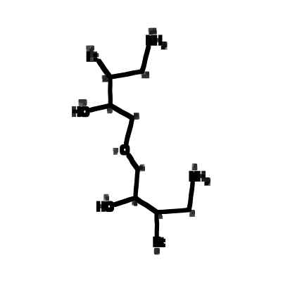 CCC(CN)C(O)COCC(O)C(CC)CN